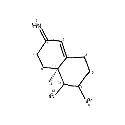 CC(C)C1CCC2=CC(=N)CC[C@]2(C)C1C(C)C